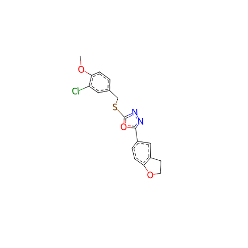 COc1ccc(CSc2nnc(-c3ccc4c(c3)CCO4)o2)cc1Cl